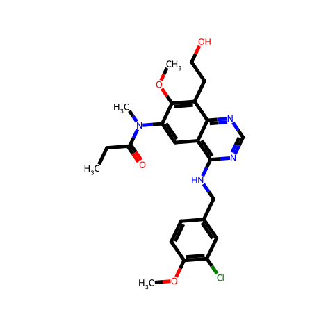 CCC(=O)N(C)c1cc2c(NCc3ccc(OC)c(Cl)c3)ncnc2c(CCO)c1OC